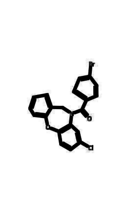 O=C(c1ccc(Br)cc1)N1Cc2ccccc2Oc2ccc(Cl)cc21